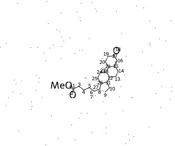 COC(=O)CCC[C@@H](C)[C@H]1CCC2C3CCC4=CC(=O)CC[C@]4(C)C3CC[C@@]21C